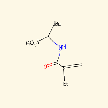 C=C(CC)C(=O)NC(C(C)CC)S(=O)(=O)O